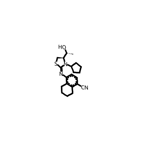 C[C@@H](O)[C@@H]1CSC(=Nc2ccc(C#N)c3c2CCCC3)N1C1CCCC1